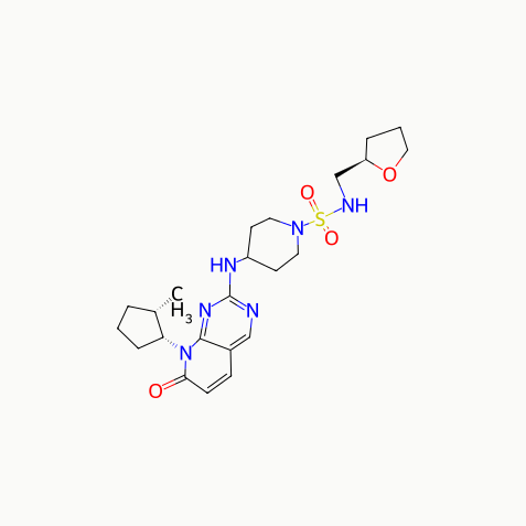 C[C@H]1CCC[C@H]1n1c(=O)ccc2cnc(NC3CCN(S(=O)(=O)NC[C@H]4CCCO4)CC3)nc21